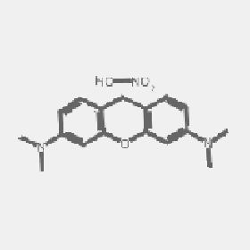 CN(C)c1ccc2c(c1)Oc1cc(N(C)C)ccc1C2.O=[N+]([O-])O